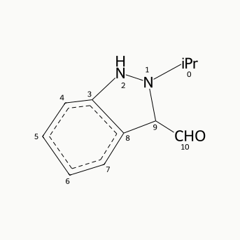 CC(C)N1Nc2ccccc2C1C=O